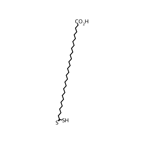 O=C(O)CCCCCCCCCCCCCCCCCCCCCCCCCCCCC(=S)S